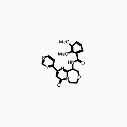 COc1cccc(C(=O)NC2COCCn3c2nc(-c2ccncn2)cc3=O)c1OC